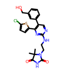 CC1(C)C(=O)NC(=O)N1CCNc1ncc(-c2cccc(CO)c2)c(-c2ccc(Cl)s2)n1